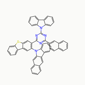 c1ccc2cc(-c3nc(-c4cc5sc6ccccc6c5cc4-n4c5ccccc5c5cc6ccccc6cc54)nc(-n4c5ccccc5c5ccccc54)n3)ccc2c1